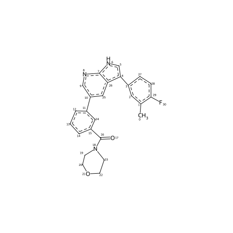 Cc1cc(-c2c[nH]c3ncc(-c4cccc(C(=O)N5CCOCC5)c4)cc23)ccc1F